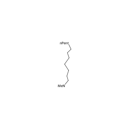 [CH2]CCCCCCCCCCCNC